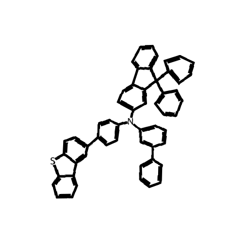 c1ccc(-c2cccc(N(c3ccc(-c4ccc5sc6ccccc6c5c4)cc3)c3ccc4c(c3)C(c3ccccc3)(c3ccccc3)c3ccccc3-4)c2)cc1